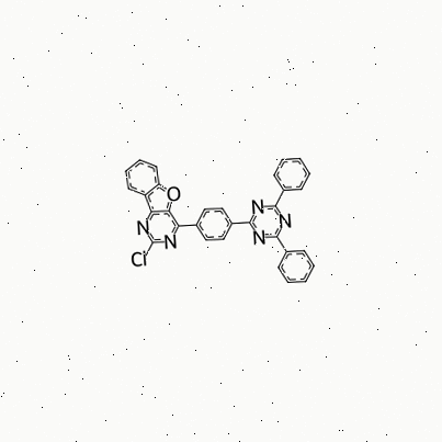 Clc1nc(-c2ccc(-c3nc(-c4ccccc4)nc(-c4ccccc4)n3)cc2)c2oc3ccccc3c2n1